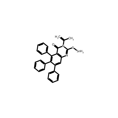 C=C(C)n1c([S][SnH3])nc2cc(-c3ccccc3)c(-c3ccccc3)c(-c3ccccc3)c2c1=O